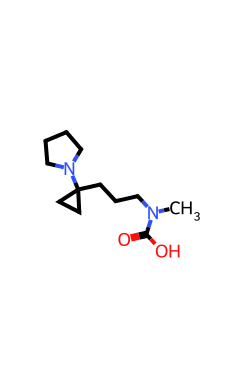 CN(CCCC1(N2CCCC2)CC1)C(=O)O